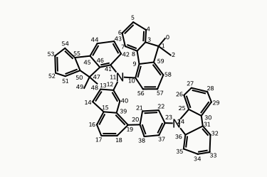 CC1(C)c2ccccc2-c2c(N(c3ccc4cccc(-c5ccc(-n6c7ccccc7c7ccccc76)cc5)c4c3)c3cccc4c3C(C)(C)c3ccccc3-4)cccc21